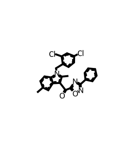 Cc1ccc2c(c1)c(C(=O)c1nc(-c3ccccc3)no1)c(C)n2Cc1ccc(Cl)cc1Cl